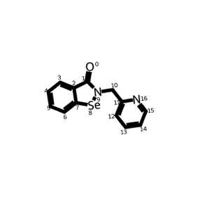 O=c1c2ccccc2[se]n1Cc1ccccn1